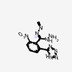 C=N/N=C(\NN)c1c(-c2nnn[nH]2)cccc1[N+](=O)[O-]